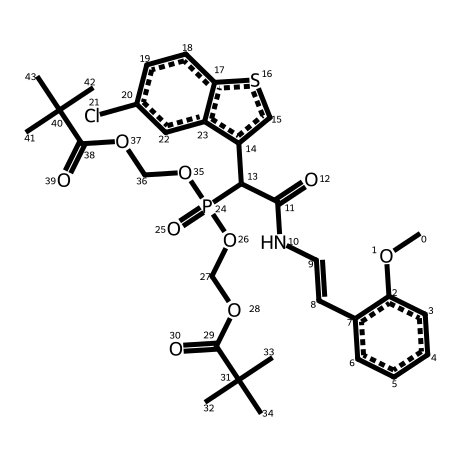 COc1ccccc1/C=C/NC(=O)C(c1csc2ccc(Cl)cc12)P(=O)(OCOC(=O)C(C)(C)C)OCOC(=O)C(C)(C)C